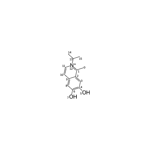 Cc1c2cc(O)c(O)cc2cc[n+]1C(C)C